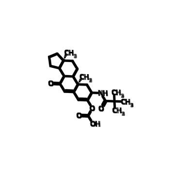 CC(C)(C)C(=O)NC1C[C@@]2(C)C(=CC(=O)C3C4CCC[C@@]4(C)CCC32)C=C1OC(=O)O